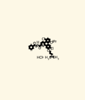 CC(C)Oc1ccc(Cl)c(-c2ccc(C(=O)NOC(=O)C3CCCCC3)nc2-c2ccc(Cl)c(OCCCN(C)C)c2)c1.Cl